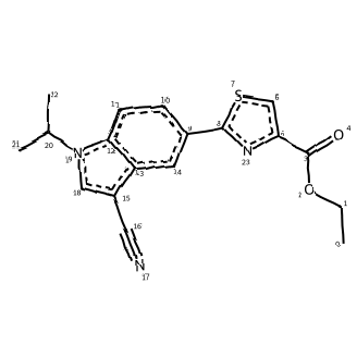 CCOC(=O)c1csc(-c2ccc3c(c2)c(C#N)cn3C(C)C)n1